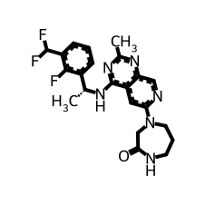 Cc1nc(N[C@H](C)c2cccc(C(F)F)c2F)c2cc(N3CCCNC(=O)C3)ncc2n1